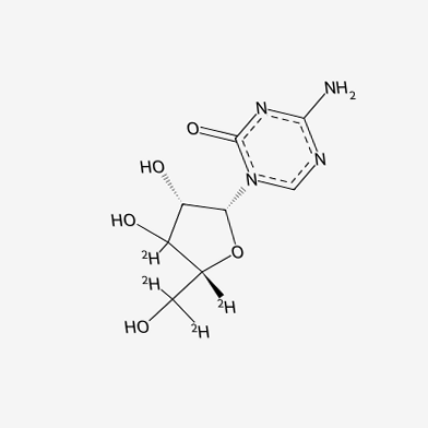 [2H]C([2H])(O)[C@@]1([2H])O[C@@H](n2cnc(N)nc2=O)[C@@H](O)C1([2H])O